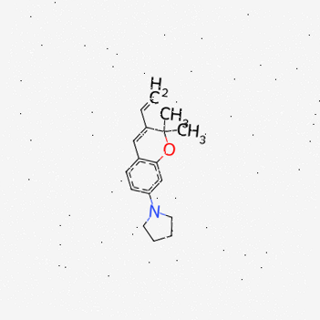 C=CC1=Cc2ccc(N3CCCC3)cc2OC1(C)C